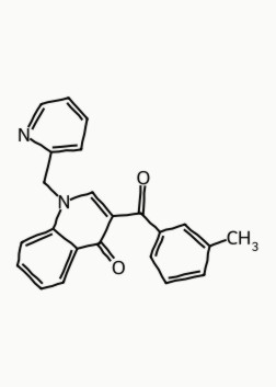 Cc1cccc(C(=O)c2cn(Cc3ccccn3)c3ccccc3c2=O)c1